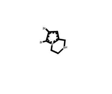 Brc1cc2n(c1Br)CCNC2